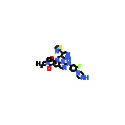 CN(C)C(=O)c1cc2cnc(Nc3ccc(N4CCNCC4)c(F)c3)nc2n(Cc2cnncc2-c2nccs2)c1=O